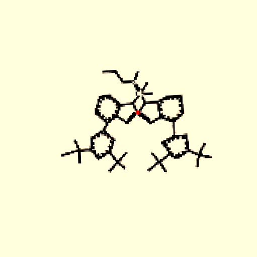 CCC[Si](C)=[Hf]([CH3])([CH3])([CH]1C=Cc2c(-c3cc(C(C)(C)C)cc(C(C)(C)C)c3)cccc21)[CH]1C=Cc2c(-c3cc(C(C)(C)C)cc(C(C)(C)C)c3)cccc21